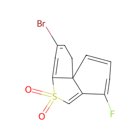 O=S1(=O)C=C2C(F)=CC=CC23CC=C(Br)C=C31